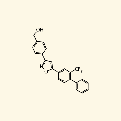 OCc1ccc(-c2cc(-c3ccc(-c4ccccc4)c(C(F)(F)F)c3)on2)cc1